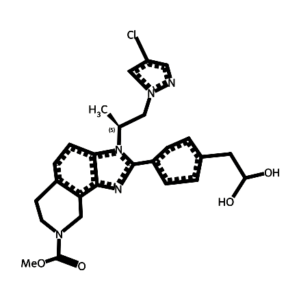 COC(=O)N1CCc2ccc3c(nc(-c4ccc(CC(O)O)cc4)n3[C@@H](C)Cn3cc(Cl)cn3)c2C1